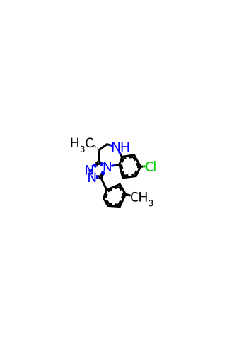 Cc1cccc(-c2nnc3n2-c2ccc(Cl)cc2NC[C@H]3C)c1